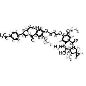 COc1ccc(C2=CN3C(=O)c4cc(OC)c(OCCCOc5cc6c(cc5OC)C(=O)N5CC7(CC7)C[C@@]5(C)[C@@H](O)N6N)cc4NCC3C2)cc1